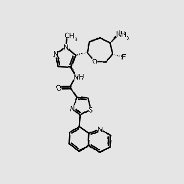 Cn1ncc(NC(=O)c2csc(-c3cccc4cccnc34)n2)c1[C@@H]1CC[C@@H](N)[C@H](F)CO1